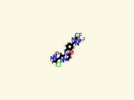 CC(C)n1ncc(Cl)c1-c1cc2n(n1)CCC(=O)N2Cc1ccc(-c2nc(C(F)(F)F)n(C)n2)cc1